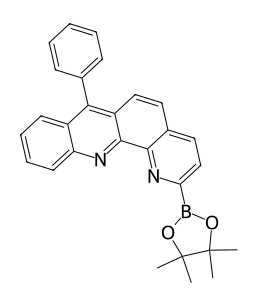 CC1(C)OB(c2ccc3ccc4c(-c5ccccc5)c5ccccc5nc4c3n2)OC1(C)C